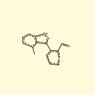 Cc1cccc2[nH]nc(-c3ccccc3C=O)c12